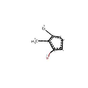 CCc1c[c]cc(Br)c1C